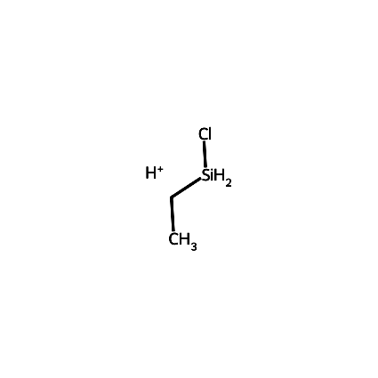 CC[SiH2]Cl.[H+]